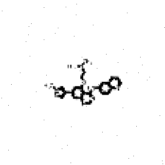 CN(C)CCOc1cc(-c2cnn(C)c2)cc2ncnc(Nc3ccc4ncccc4c3)c12